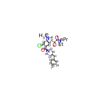 CCCN(CC)C(=O)C(=O)C1CN(C)c2cc(Cl)c(C(=O)N3CCC(Cc4ccc(F)cc4)CC3)cc21